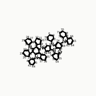 c1ccc(N2c3cc(-n4c5ccccc5c5c6c(c7ccccc7n6-c6ccccc6)c6c(c7ccccc7n6-c6ccccc6)c54)ccc3B3c4ccccc4Oc4cc(-n5c6ccccc6c6ccccc65)cc2c43)cc1